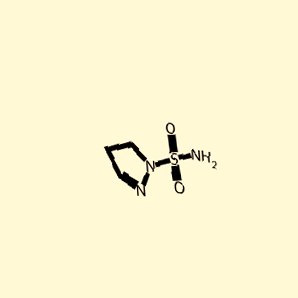 NS(=O)(=O)N1CCC=N1